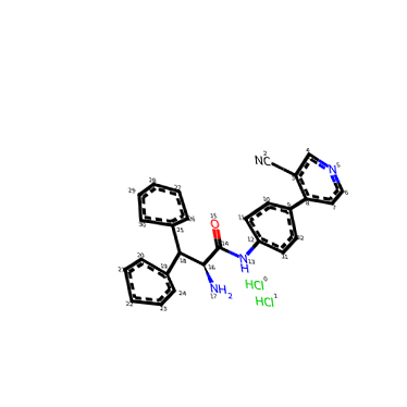 Cl.Cl.N#Cc1cnccc1-c1ccc(NC(=O)[C@@H](N)C(c2ccccc2)c2ccccc2)cc1